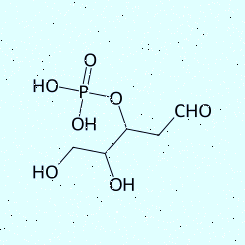 O=CCC(OP(=O)(O)O)C(O)CO